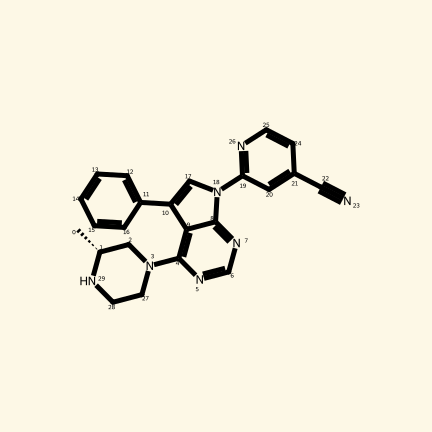 C[C@@H]1CN(c2ncnc3c2c(-c2ccccc2)cn3-c2cc(C#N)ccn2)CCN1